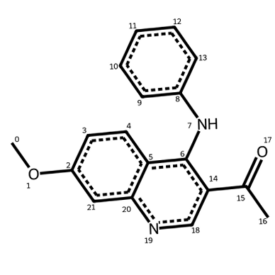 COc1ccc2c(Nc3ccccc3)c(C(C)=O)cnc2c1